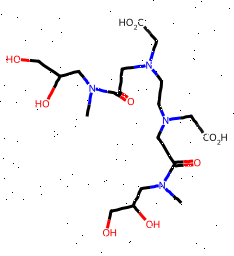 CN(CC(O)CO)C(=O)CN(CCN(CC(=O)O)CC(=O)N(C)CC(O)CO)CC(=O)O